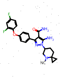 N#CN1CC(n2nc(-c3ccc(Oc4ccc(F)cc4F)cc3)c(C(N)=O)c2N)CCC12CC2